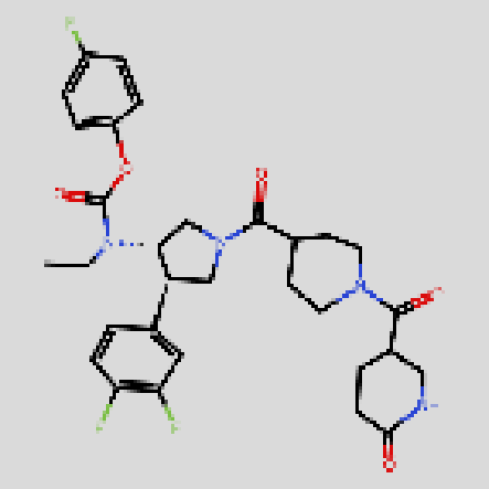 CCN(C(=O)Oc1ccc(F)cc1)[C@@H]1CN(C(=O)C2CCN(C(=O)C3CCC(=O)NC3)CC2)C[C@H]1c1ccc(F)c(F)c1